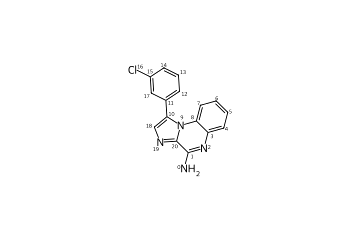 Nc1nc2ccccc2n2c(-c3cccc(Cl)c3)cnc12